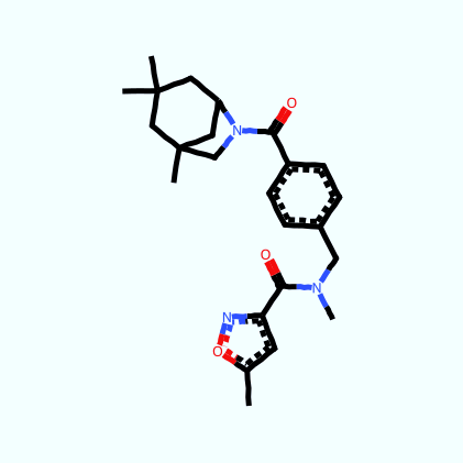 Cc1cc(C(=O)N(C)Cc2ccc(C(=O)N3CC4(C)CC3CC(C)(C)C4)cc2)no1